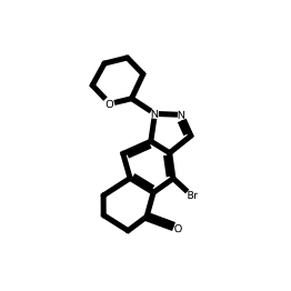 O=C1CCCc2cc3c(cnn3C3CCCCO3)c(Br)c21